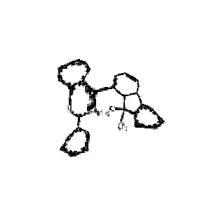 CC1(C)c2ccccc2C2C=CC=C(c3nc(-c4ccccc4)nc4ccccc34)C21